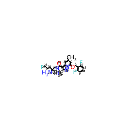 Cc1cc(OCc2c(F)cccc2F)n2nc(C)c(C(=O)NCC(C)(N)CCCF)c2c1